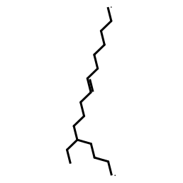 [CH2]CCCCCC=CCCCC(CC)CCC[CH2]